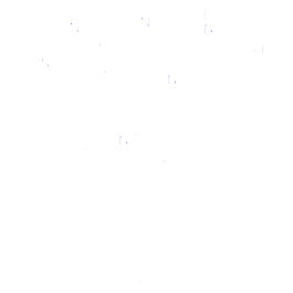 CCC(C)Nc1nc2c3c(n1)N(Cc1ccccc1)CCC3NN2